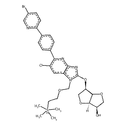 C[SH](C)(C)(C)CCOCn1c(O[C@@H]2CO[C@H]3C2OC[C@H]3O)nc2nc(-c3ccc(-c4ccc(Br)cn4)cc3)c(Cl)cc21